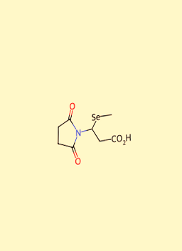 C[Se]C(CC(=O)O)N1C(=O)CCC1=O